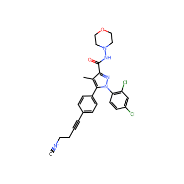 [C-]#[N+]CCC#Cc1ccc(-c2c(C)c(C(=O)NN3CCOCC3)nn2-c2ccc(Cl)cc2Cl)cc1